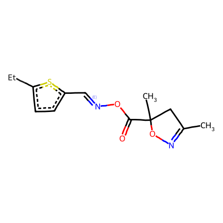 CCc1ccc(/C=N/OC(=O)C2(C)CC(C)=NO2)s1